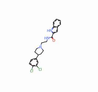 O=C(NCCN1CCC(c2ccc(Cl)c(Cl)c2)CC1)c1cc2ccccc2[nH]1